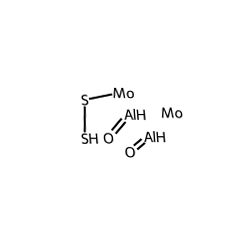 S[S][Mo].[Mo].[O]=[AlH].[O]=[AlH]